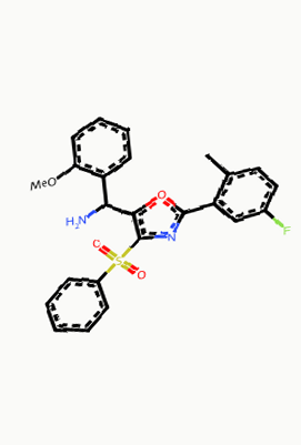 COc1ccccc1C(N)c1oc(-c2cc(F)ccc2C)nc1S(=O)(=O)c1ccccc1